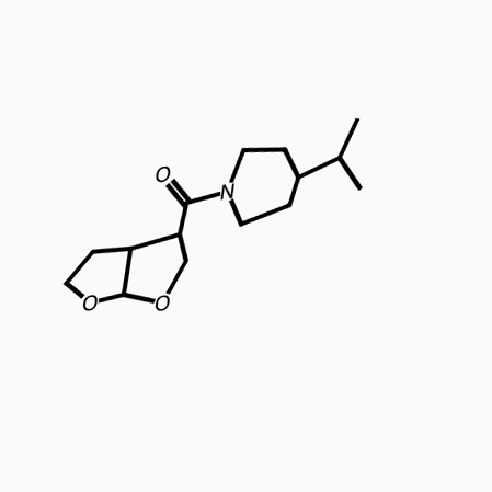 CC(C)C1CCN(C(=O)C2COC3OCCC32)CC1